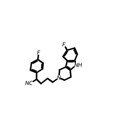 N#CC(CCCN1CCc2[nH]c3ccc(F)cc3c2C1)c1ccc(F)cc1